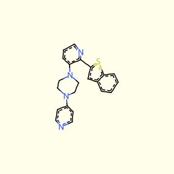 c1cnc(-c2cc3ccccc3s2)c(N2CCN(c3ccncc3)CC2)c1